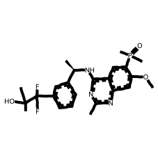 COc1cc2nc(C)nc(N[C@H](C)c3cccc(C(F)(F)C(C)(C)O)c3)c2cc1P(C)(C)=O